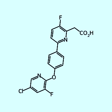 O=C(O)Cc1nc(-c2ccc(Oc3ncc(Cl)cc3F)cc2)ccc1F